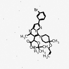 C=CCOC1(C)CCN(c2c(C(OC(C)(C)C)C(=O)O)c(C)nc3cc(-c4cccc(Br)c4)nn23)CC1